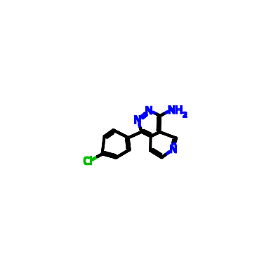 Nc1nnc(-c2ccc(Cl)cc2)c2ccncc12